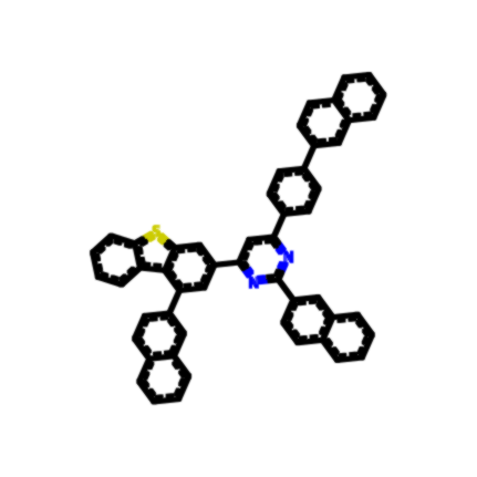 c1ccc2cc(-c3ccc(-c4cc(-c5cc(-c6ccc7ccccc7c6)c6c(c5)sc5ccccc56)nc(-c5ccc6ccccc6c5)n4)cc3)ccc2c1